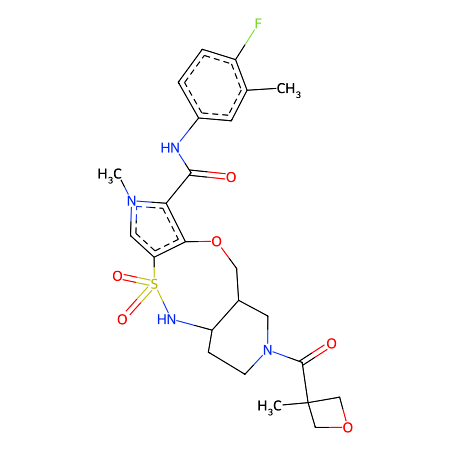 Cc1cc(NC(=O)c2c3c(cn2C)S(=O)(=O)NC2CCN(C(=O)C4(C)COC4)CC2CO3)ccc1F